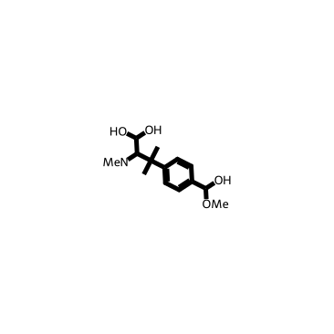 CNC(C(O)O)C(C)(C)c1ccc(C(O)OC)cc1